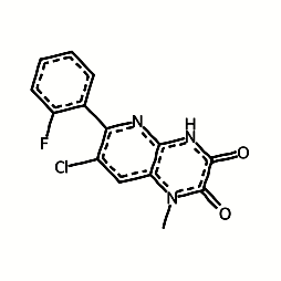 Cn1c(=O)c(=O)[nH]c2nc(-c3ccccc3F)c(Cl)cc21